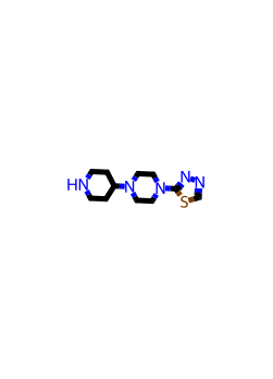 c1nnc(N2CCN(C3CCNCC3)CC2)s1